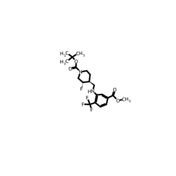 COC(=O)c1ccc(C(F)(F)F)c(NC[C@@H]2CCN(C(=O)OC(C)(C)C)C[C@H]2F)c1